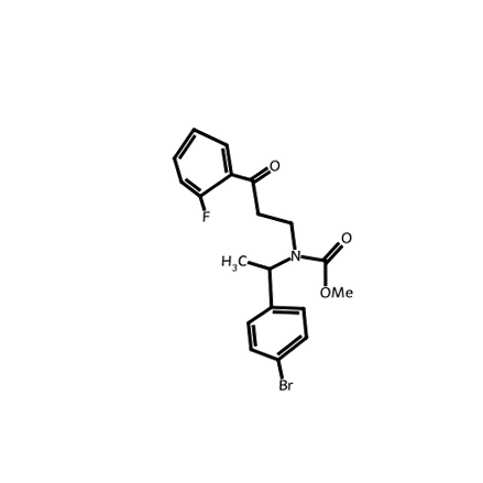 COC(=O)N(CCC(=O)c1ccccc1F)C(C)c1ccc(Br)cc1